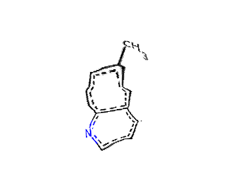 Cc1ccc2ncc[c]c2c1